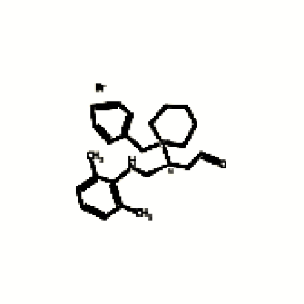 Cc1cccc(C)c1NC[C@H](CC=O)[N+]1(Cc2ccccc2)CCCCC1.[Br-]